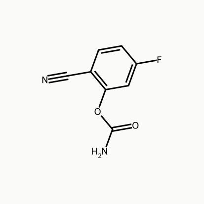 N#Cc1ccc(F)cc1OC(N)=O